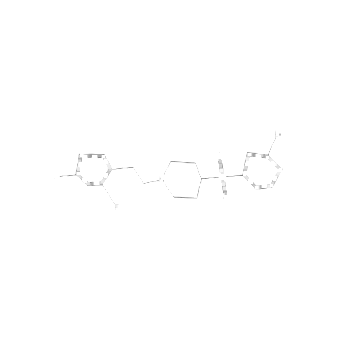 O=S(=O)(c1cccc(Br)c1)C1CCN(CCc2ccc(F)cc2F)CC1